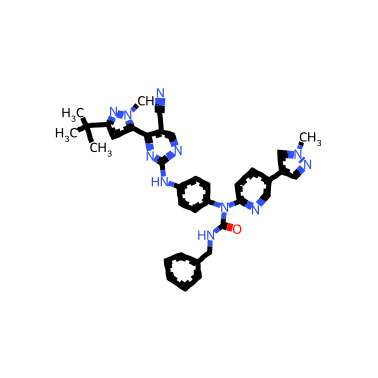 Cn1cc(-c2ccc(N(C(=O)NCc3ccccc3)c3ccc(Nc4ncc(C#N)c(-c5cc(C(C)(C)C)nn5C)n4)cc3)nc2)cn1